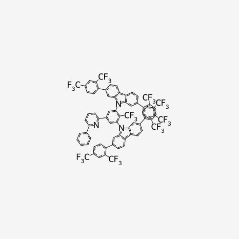 FC(F)(F)c1ccc(-c2ccc3c4ccc(-c5ccc(C(F)(F)F)cc5C(F)(F)F)cc4n(-c4cc(-c5cccc(-c6ccccc6)n5)cc(-n5c6cc(-c7ccc(C(F)(F)F)cc7C(F)(F)F)ccc6c6ccc(-c7ccc(C(F)(F)F)cc7C(F)(F)F)cc65)c4C(F)(F)F)c3c2)c(C(F)(F)F)c1